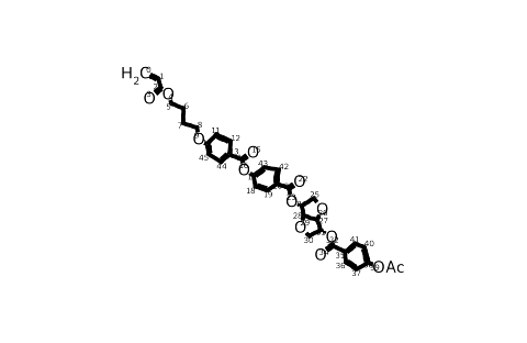 C=CC(=O)OCCCCOc1ccc(C(=O)Oc2ccc(C(=O)O[C@H]3COC4C3OC[C@@H]4OC(=O)c3ccc(OC(C)=O)cc3)cc2)cc1